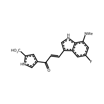 CNc1cc(F)cc2c(C=CC(=O)c3c[nH]c(C(=O)O)c3)c[nH]c12